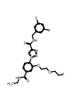 CCNC(=O)c1ccc(-n2cc(C(=O)NCc3cc(F)cc(F)c3)nn2)c(OCCOCCF)c1